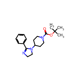 CC(C)(C)OC(=O)N1CCC(N2CCN=C2c2ccccc2)CC1